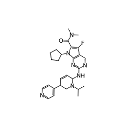 CC(C)N1CC(c2ccncc2)C=CC1Nc1ncc2c(F)c(C(=O)N(C)C)n(C3CCCC3)c2n1